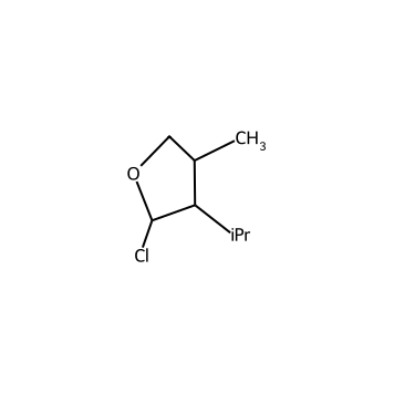 CC(C)C1C(C)COC1Cl